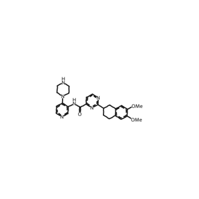 COc1cc2c(cc1OC)CC(c1nccc(C(=O)Nc3cnccc3N3CCNCC3)n1)CC2